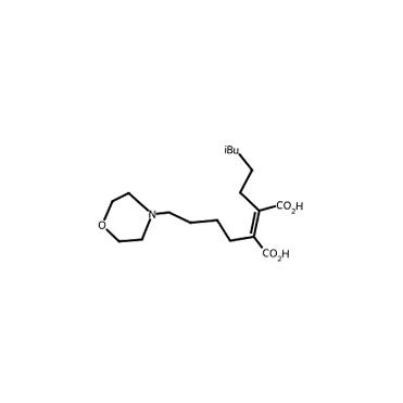 CCC(C)CCC(C(=O)O)=C(CCCCN1CCOCC1)C(=O)O